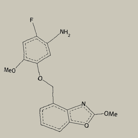 COc1nc2c(COc3cc(N)c(F)cc3OC)cccc2o1